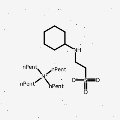 CCCCC[N+](CCCCC)(CCCCC)CCCCC.O=S(=O)([O-])CCNC1CCCCC1